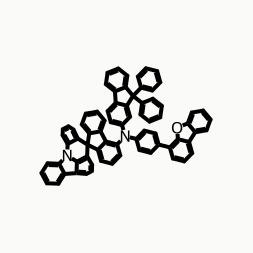 c1ccc(C2(c3ccccc3)c3ccccc3-c3ccc(N(c4ccc(-c5cccc6c5oc5ccccc56)cc4)c4cccc5c4-c4ccccc4C54c5ccccc5-n5c6ccccc6c6cccc4c65)cc32)cc1